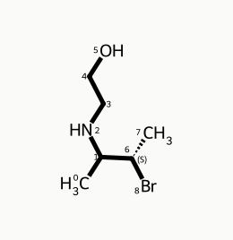 CC(NCCO)[C@H](C)Br